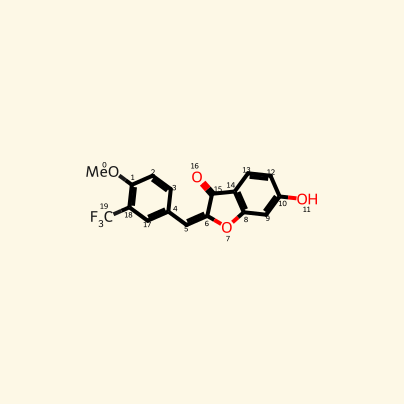 COc1ccc(C=C2Oc3cc(O)ccc3C2=O)cc1C(F)(F)F